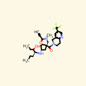 C#CC(=O)N(C)C[C@]1(C(=O)N2CCc3ncc(C(F)(F)F)cc3C2)CC[C@@H](N[C@@H](CCC)C(O)CC)C1